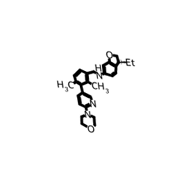 CC[C@@H]1COc2cc(NCc3ccc(C)c(-c4ccc(N5CCOCC5)nc4)c3C)ccc21